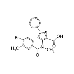 Cc1cc(C(=O)N(C)c2cc(-c3ccccc3)sc2C(=O)O)ccc1Br